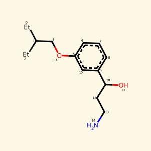 CCC(CC)COc1cccc(C(O)CCN)c1